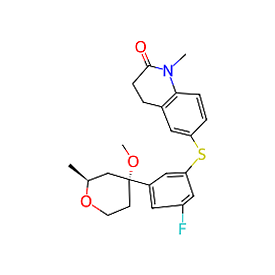 CO[C@]1(c2cc(F)cc(Sc3ccc4c(c3)CCC(=O)N4C)c2)CCO[C@@H](C)C1